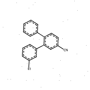 CCc1cccc(-c2cc(C#N)ccc2-c2ccccc2)c1